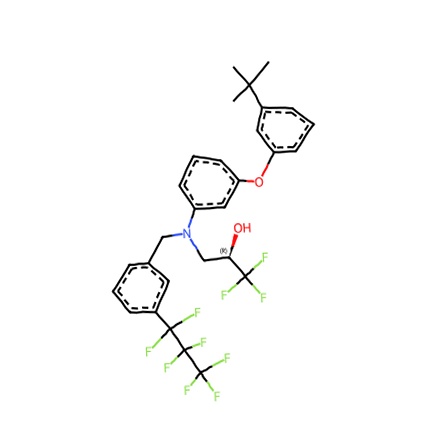 CC(C)(C)c1cccc(Oc2cccc(N(Cc3cccc(C(F)(F)C(F)(F)C(F)(F)F)c3)C[C@@H](O)C(F)(F)F)c2)c1